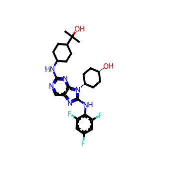 CC(C)(O)C1CCC(Nc2ncc3nc(Nc4c(F)cc(F)cc4F)n([C@H]4CC[C@@H](O)CC4)c3n2)CC1